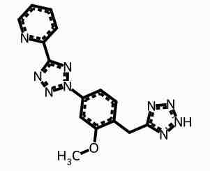 COc1cc(-n2nnc(-c3ccccn3)n2)ccc1Cc1nn[nH]n1